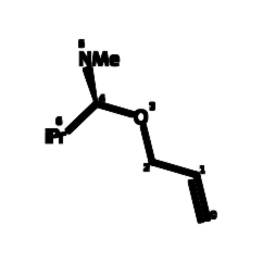 C=CCO[C@H](NC)C(C)C